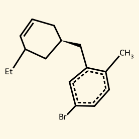 CCC1C=CC[C@@H](Cc2cc(Br)ccc2C)C1